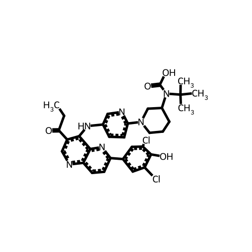 CCC(=O)c1cnc2ccc(-c3cc(Cl)c(O)c(Cl)c3)nc2c1Nc1ccc(N2CCCC(N(C(=O)O)C(C)(C)C)C2)nc1